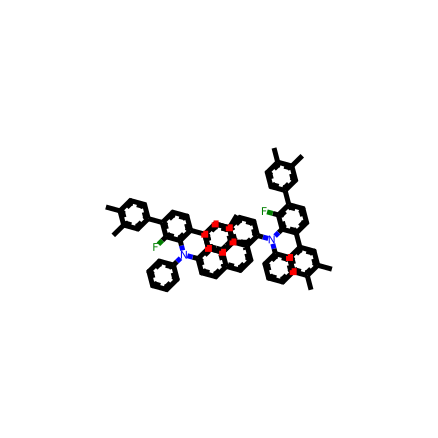 Cc1ccc(-c2ccc(-c3ccc(C)c(C)c3)c(N(c3ccccc3)c3ccc4ccc5c(N(c6ccccc6)c6c(-c7ccc(C)c(C)c7)ccc(-c7ccc(C)c(C)c7)c6F)ccc6ccc3c4c65)c2F)cc1C